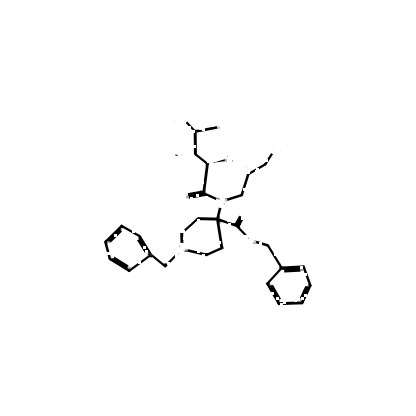 CCCCN(C(=O)[C@H](N)[C@H](O)C(C)C)C1(C(=O)NCc2ccccc2)CCN(Cc2ccccc2)CC1